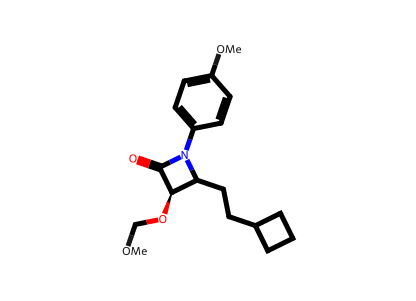 COCO[C@H]1C(=O)N(c2ccc(OC)cc2)C1CCC1CCC1